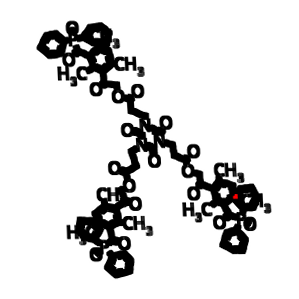 Cc1cc(C)c(C(=O)P(=O)(c2ccccc2)c2ccccc2)c(C)c1C(=O)COC(=O)CCn1c(=O)n(CCC(=O)OCC(=O)c2c(C)cc(C)c(C(=O)P(=O)(c3ccccc3)c3ccccc3)c2C)c(=O)n(CCC(=O)OCC(=O)c2c(C)cc(C)c(C(=O)P(=O)(c3ccccc3)c3ccccc3)c2C)c1=O